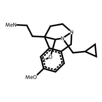 CCOC1N(CC2CC2)N2CCC1(CCNC)c1cc(OC)ccc1C2